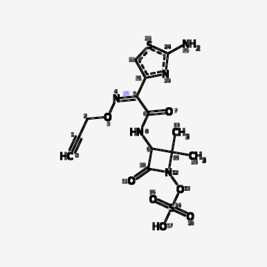 C#CCO/N=C(\C(=O)NC1C(=O)N(OS(=O)(=O)O)C1(C)C)c1csc(N)n1